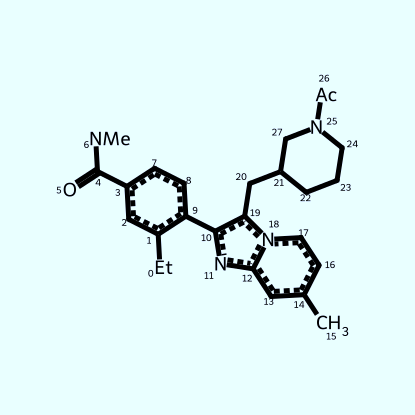 CCc1cc(C(=O)NC)ccc1-c1nc2cc(C)ccn2c1CC1CCCN(C(C)=O)C1